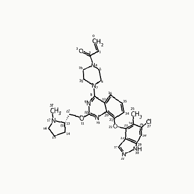 C=CC(=O)N1CCN(c2nc(OC[C@@H]3CCCN3C)nc3c(Oc4c(C)c(Cl)cc5[nH]ncc45)cccc23)CC1